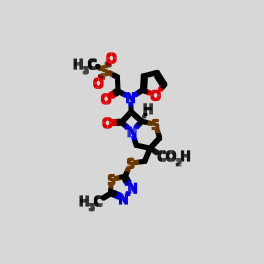 Cc1nnc(SCC2(C(=O)O)CS[C@@H]3C(N(C(=O)CS(C)(=O)=O)c4ccco4)C(=O)N3C2)s1